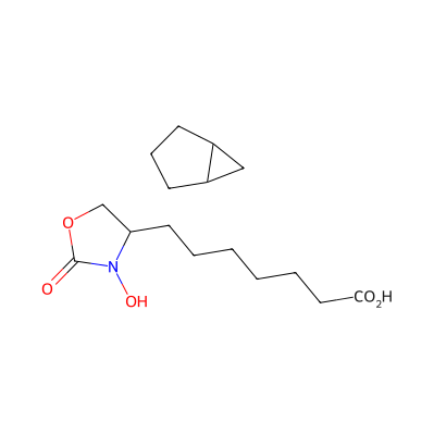 C1CC2CC2C1.O=C(O)CCCCCCC1COC(=O)N1O